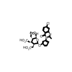 CC(=O)OC[C@H]1O[C@@H](Oc2cccc(-n3c(C)nc4cc(Cl)ccc4c3=O)c2)[C@@H](CC(=O)O)[C@H](CC(=O)O)[C@@H]1CC(=O)O